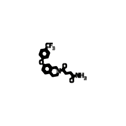 NC(=O)CCC(=O)N1CCc2ccc(Oc3ccc(C(F)(F)F)cc3)cc2C1